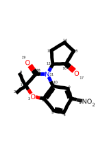 CC1(C)Oc2ccc([N+](=O)[O-])cc2N(C2CCCC2=O)C1=O